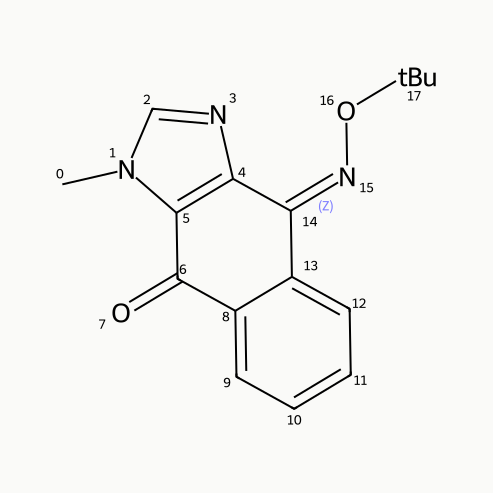 Cn1cnc2c1C(=O)c1ccccc1/C2=N/OC(C)(C)C